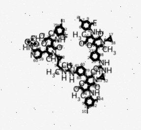 Cc1c(Nc2ccc(I)cc2F)c2c(=O)n(C3CC3)c(C)c(-c3cccc(NC(=O)NC4CC4n4c(C)c(-c5cccc(NC(=O)NC(C)(C)CC6CC6n6c(C)c(-c7ccnc(NS(C)(=O)=O)c7)c7oc(=O)c(C)c(Nc8ccc(I)cc8F)c7c6=O)c5)c5oc(=O)c(C)c(Nc6ccc(I)cc6F)c5c4=O)c3)c2oc1=O